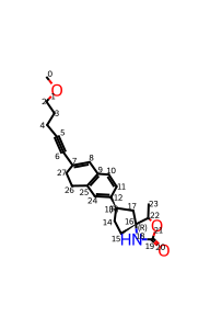 COCCCC#CC1=Cc2ccc([C@@H]3CC[C@]4(C3)NC(=O)OC4C)cc2CC1